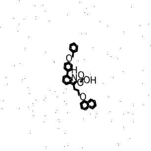 O=C(O)Oc1[nH]c2c(-c3ccc(OCc4ccccc4)cc3)cccc2c1CCCOc1cccc2ccccc12